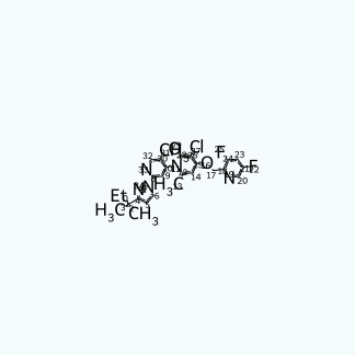 CCC(C)(C)c1ccn(-c2cc(-n3c(C)cc(OCc4ncc(F)cc4F)c(Cl)c3=O)c(C)cn2)n1